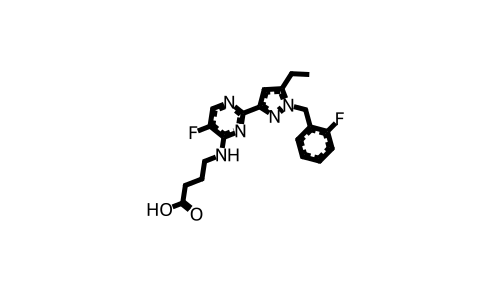 CCc1cc(-c2ncc(F)c(NCCCC(=O)O)n2)nn1Cc1ccccc1F